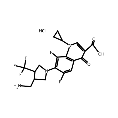 Cl.NCC1CN(c2c(F)cc3c(=O)c(C(=O)O)cn(C4CC4)c3c2F)CC1C(F)(F)F